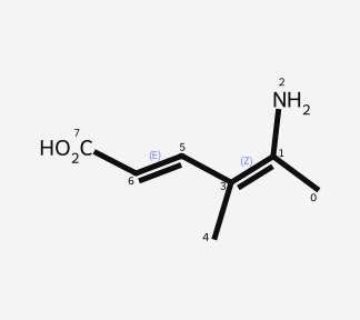 C/C(N)=C(C)/C=C/C(=O)O